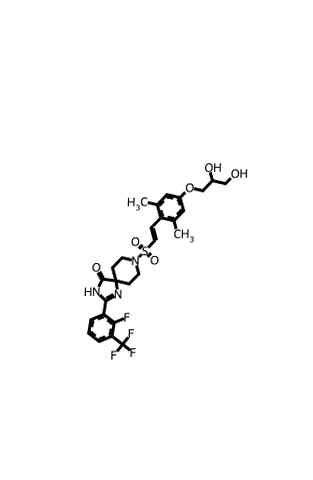 Cc1cc(OCC(O)CO)cc(C)c1C=CS(=O)(=O)N1CCC2(CC1)N=C(c1cccc(C(F)(F)F)c1F)NC2=O